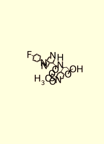 CS(=O)(=O)c1cc(C(CC(=O)O)NC(=O)c2cncc3c2cnn3-c2ccc(F)cc2)ccn1